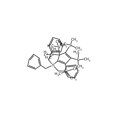 C[Si](C)(C)C1=C([Si](C)(C)C)C([Si](C)(C)C)([Si](C)(C)C)[C]([Ti]([CH2]c2ccccc2)([CH2]c2ccccc2)[CH2]c2ccccc2)=C1[Si](C)(C)C